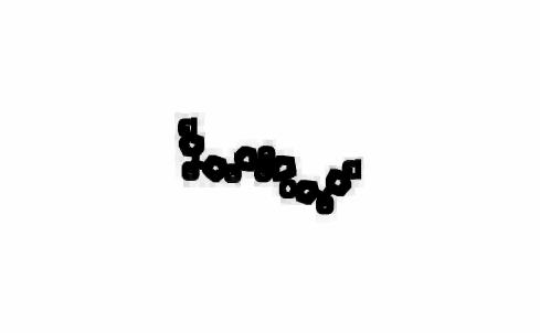 O=C(c1ccc(Cl)cc1)c1ccc(Oc2cccc(S(=O)(=O)c3cccc(Oc4ccc(C(=O)c5ccc(Cl)cc5)cc4)c3)c2)cc1